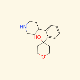 OC1(c2ccccc2C2CCNCC2)CCOCC1